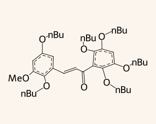 CCCCOc1cc(/C=C/C(=O)c2c(OCCCC)c(OCCCC)cc(OCCCC)c2OCCCC)c(OCCCC)c(OC)c1